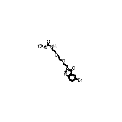 CC(C)(C)OC(=O)NCCOCCOCCn1cnc2ccc(Br)cc2c1=O